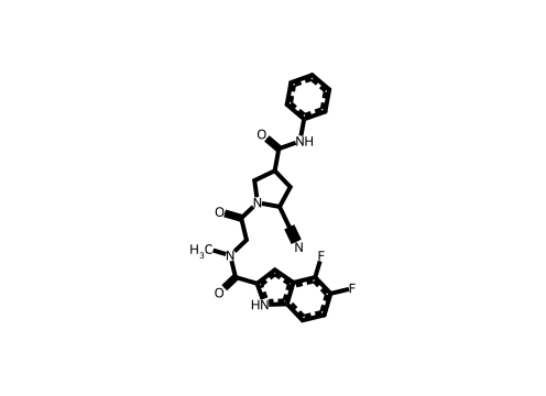 CN(CC(=O)N1CC(C(=O)Nc2ccccc2)CC1C#N)C(=O)c1cc2c(F)c(F)ccc2[nH]1